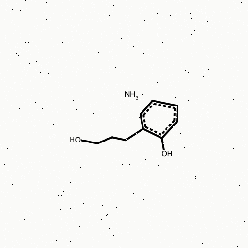 N.OCCCc1ccccc1O